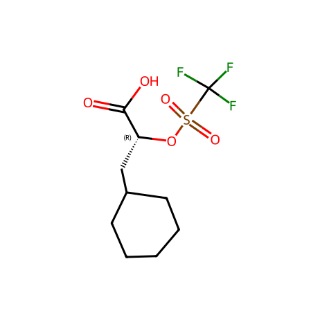 O=C(O)[C@@H](CC1CCCCC1)OS(=O)(=O)C(F)(F)F